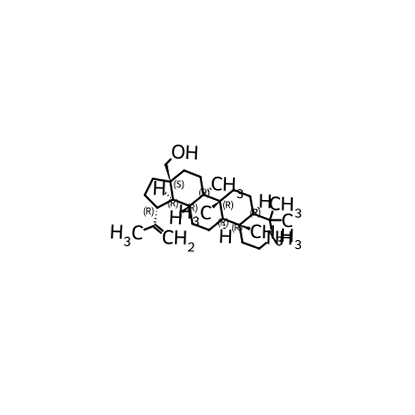 C=C(C)[C@@H]1CC[C@]2(CO)CC[C@]3(C)[C@H](CC[C@@H]4[C@@]5(C)CCNC(C)(C)[C@@H]5CC[C@]43C)[C@@H]12